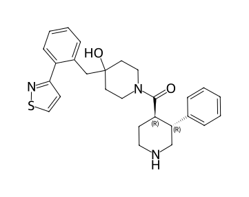 O=C([C@@H]1CCNC[C@H]1c1ccccc1)N1CCC(O)(Cc2ccccc2-c2ccsn2)CC1